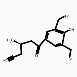 C#CC[C@@H](C)CC(=O)c1cc(CC(C)C)c(O)c(CC(C)C)c1